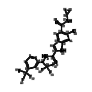 O=C(NC(c1cccc(C(F)(F)F)c1)C(F)(F)F)c1cc2cc(C(=O)NC3CC3)c(Cl)cc2[nH]1